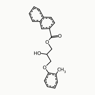 Cc1ccccc1OCC(O)COC(=O)c1ccc2ccccc2c1